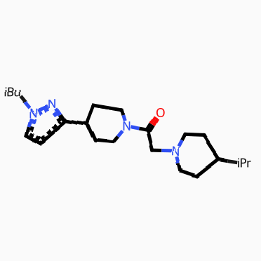 CCC(C)n1ccc(C2CCN(C(=O)CN3CCC(C(C)C)CC3)CC2)n1